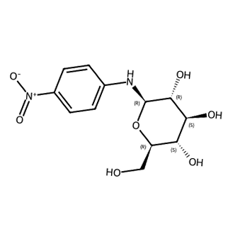 O=[N+]([O-])c1ccc(N[C@@H]2O[C@H](CO)[C@@H](O)[C@H](O)[C@H]2O)cc1